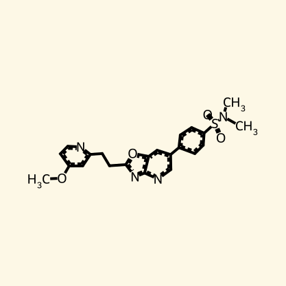 COc1ccnc(CCc2nc3ncc(-c4ccc(S(=O)(=O)N(C)C)cc4)cc3o2)c1